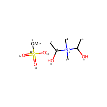 CC(O)[N+](C)(C)C(C)O.COS(=O)(=O)[O-]